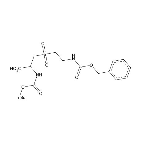 CCCCOC(=O)NC(CS(=O)(=O)CCNC(=O)OCc1ccccc1)C(=O)O